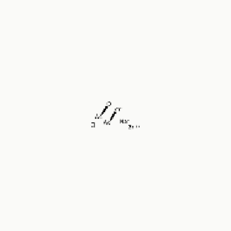 CC(=O)[O-].CC(=O)[O-].[Cl-].[Na+].[Zn+2]